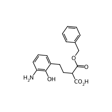 Nc1cccc(CCC(C(=O)O)C(=O)OCc2ccccc2)c1O